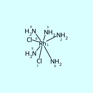 [NH2][Rh]([NH2])([NH2])([NH2])([NH2])([Cl])[Cl]